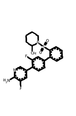 Nc1ncc(-c2ccc(-c3ccccc3S(=O)(=O)N3CCCCC3O)cc2F)cc1F